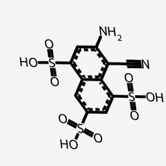 N#Cc1c(N)cc(S(=O)(=O)O)c2cc(S(=O)(=O)O)cc(S(=O)(=O)O)c12